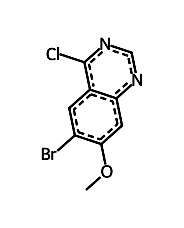 COc1cc2ncnc(Cl)c2cc1Br